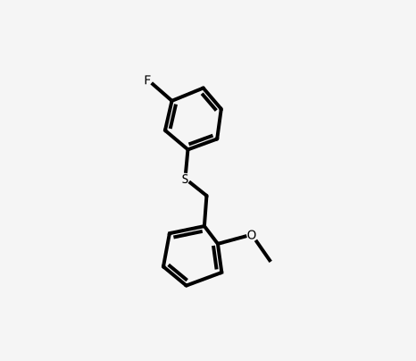 COc1ccccc1CSc1cccc(F)c1